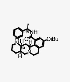 CC(C)COc1cc2c(c(C(=O)N[C@H](C)c3ccccc3)c1)[C@H]1C[C@@H]3NCCC[C@@H]3CN1CC2